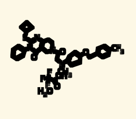 CN(CC(=O)N1CCc2nc(SC3CCC3)n(-c3ccccc3)c(=O)c2C1)c1ccc(OCc2ccc(C(F)(F)F)cc2)cc1.O.O=C(O)C(F)(F)F